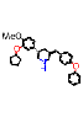 COc1ccc([C@H]2CNCC(=Cc3ccc(Oc4ccccc4)cc3)C2)cc1OC1CCCC1